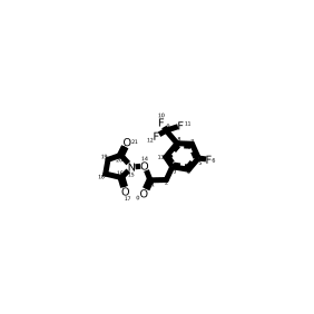 O=C(Cc1cc(F)cc(C(F)(F)F)c1)ON1C(=O)CCC1=O